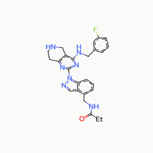 CCC(=O)NCc1cccc2c1cnn2-c1nc2c(c(NCc3cccc(F)c3)n1)CNCC2